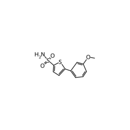 COc1cccc(-c2ccc(S(N)(=O)=O)s2)c1